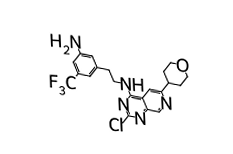 Nc1cc(CCNc2nc(Cl)nc3cnc(C4CCOCC4)cc23)cc(C(F)(F)F)c1